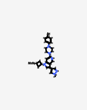 CN[C@H]1C[C@H](n2cc(-c3cnn(C)c3)c3cnc(N4CCN(c5ccc(C(C)=O)cc5)CC4)cc32)C1